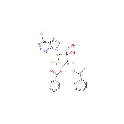 O=C(OC[C@@H]1C(OC(=O)c2ccccc2)[C@@H](F)[C@H](n2cnc3c(Cl)ncnc32)C1(O)CO)c1ccccc1